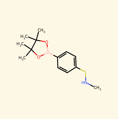 CNSc1ccc(B2OC(C)(C)C(C)(C)O2)cc1